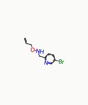 C=CCONCc1ccc(Br)cn1